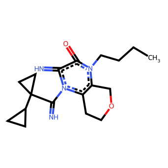 CCCCn1c2c(n(C(=N)C3(C4CC4)CC3)c(=N)c1=O)CCOC2